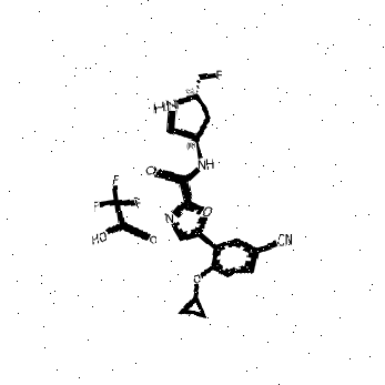 N#Cc1ccc(OC2CC2)c(-c2cnc(C(=O)N[C@H]3CN[C@H](CF)C3)o2)c1.O=C(O)C(F)(F)F